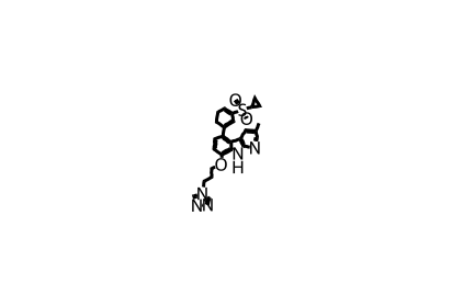 Cc1cnc2[nH]c3c(OCCCn4cnnc4)ccc(C4=CC(S(=O)(=O)C5CC5)=CCC4)c3c2c1